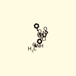 CC(=O)Nc1ccc([S+]([O-])C2(Cl)CC3CC(=O)N3[C@@H]2C(=O)OCc2ccccc2)cc1